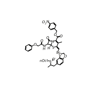 CC1=C(C(=O)OCc2ccc([N+](=O)[O-])cc2)N2C(=O)C(NC(=O)COc3ccccc3)[C@H]2S/C1=C\Br.CCCCCCCC[S+]([O-])C(C)Cc1ccc2c(c1)OCO2